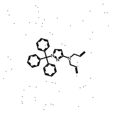 C=CCN(CC=C)c1ccn(C(c2ccccc2)(c2ccccc2)c2ccccc2)n1